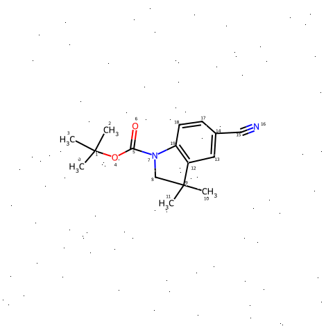 CC(C)(C)OC(=O)N1CC(C)(C)c2cc(C#N)ccc21